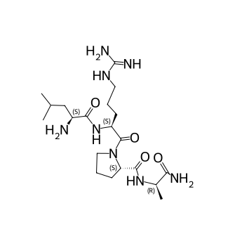 CC(C)C[C@H](N)C(=O)N[C@@H](CCCNC(=N)N)C(=O)N1CCC[C@H]1C(=O)N[C@H](C)C(N)=O